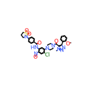 COc1ccccc1-c1nnn(C)c1C(=O)N1CCN(c2cc(NC(=O)c3ccc(N4CCCS4(=O)=O)cc3)c(N=O)cc2Cl)CC1